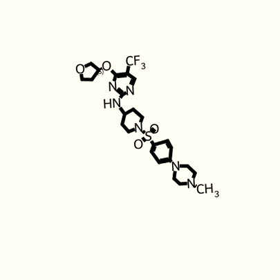 CN1CCN(c2ccc(S(=O)(=O)N3CCC(Nc4ncc(C(F)(F)F)c(O[C@H]5CCOC5)n4)CC3)cc2)CC1